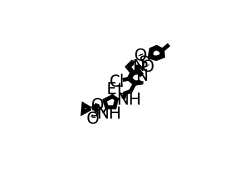 CC[C@@H]1C[C@H](NS(=O)(=O)C2CC2)C[C@@H]1NCCc1cnc2c(ccn2S(=O)(=O)c2ccc(C)cc2)c1Cl